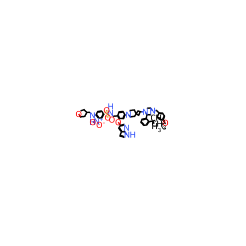 COc1ccc(CN2CCN(C3CC4(CCN(c5ccc(C(=O)NS(=O)(=O)c6ccc(NCC7CCOCC7)c([N+](=O)[O-])c6)c(Oc6cnc7[nH]ccc7c6)c5)CC4)C3)C(c3ccccc3C(C)C)C2)cc1